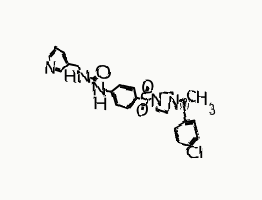 C[C@H](c1ccc(Cl)cc1)N1CCN(S(=O)(=O)c2ccc(NC(=O)NCc3cccnc3)cc2)CC1